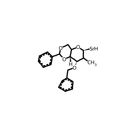 CC1[C@H]([SrH])OC2COC(c3ccccc3)O[C@H]2[C@H]1OCc1ccccc1